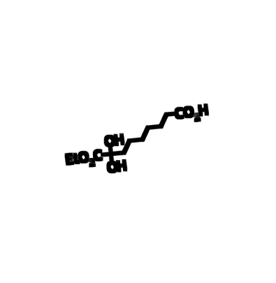 CCOC(=O)C(O)(O)CCCCCCC(=O)O